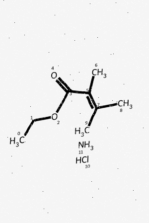 CCOC(=O)C(C)=C(C)C.Cl.N